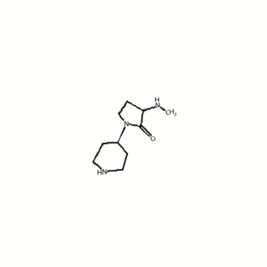 CNC1CCN(C2CCNCC2)C1=O